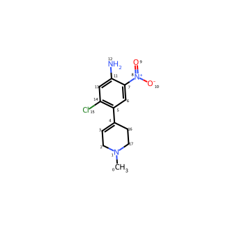 CN1CC=C(c2cc([N+](=O)[O-])c(N)cc2Cl)CC1